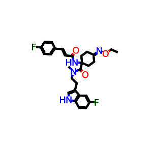 CCON=C1CCC(NC(=O)C=Cc2ccc(F)cc2)(C(=O)N(C)CCc2c[nH]c3ccc(F)cc23)CC1